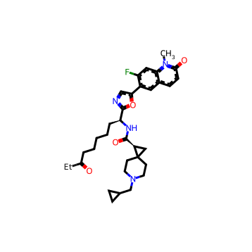 CCC(=O)CCCCC[C@H](NC(=O)[C@H]1CC12CCN(CC1CC1)CC2)c1ncc(-c2cc3ccc(=O)n(C)c3cc2F)o1